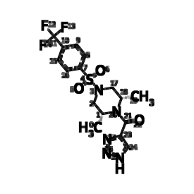 C[C@@H]1CN(S(=O)(=O)c2ccc(C(F)(F)F)cc2)C[C@H](C)N1C(=O)c1c[nH]nn1